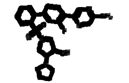 Nc1cnc(-c2ccc(-c3ccccc3S(=O)(=O)N3CC(O)C(N4CCCC4)C3)cc2F)cn1